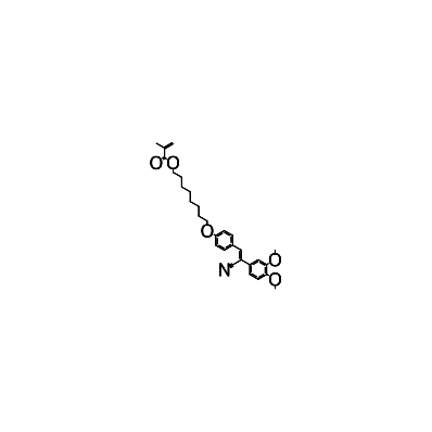 C=C(C)C(=O)OCCCCCCCCOc1ccc(C=C(C#N)c2ccc(OC)c(OC)c2)cc1